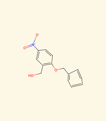 O=[N+]([O-])c1ccc(OCc2ccccc2)c(CO)c1